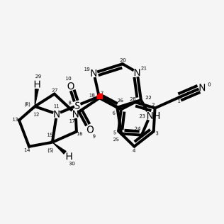 N#Cc1cccc(CS(=O)(=O)N2[C@@H]3CC[C@H]2CN(c2ncnc4[nH]ccc24)C3)c1